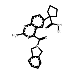 CCNC(=O)C1(c2ccc3nc(N)nc(C(=O)N4Cc5ccccc5C4)c3c2)CCCC1